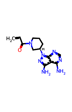 C=CC(=O)N1CCC[C@@H](n2nc(N)c3c(N)ncnc32)C1